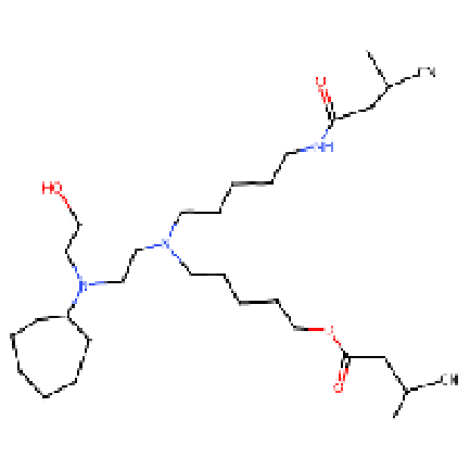 CC(C#N)CC(=O)NCCCCCN(CCCCCOC(=O)CC(C)C#N)CCN(CCO)C1CCCCCC1